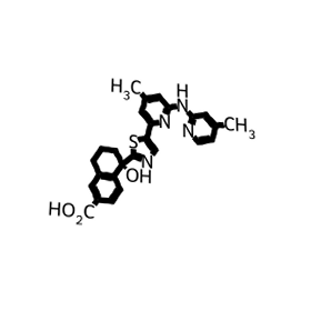 Cc1ccnc(Nc2cc(C)cc(-c3cnc([C@@]4(O)CCCc5cc(C(=O)O)ccc54)s3)n2)c1